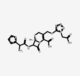 NC(C(=O)NC1C(=O)N2C(C(=O)O)=C(CSc3nnnn3CC(=O)O)CS[C@H]12)c1cccs1